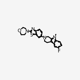 Cn1c2c(c3cc(F)ccc31)CCN(c1ccc3nc(N4CCOCC4)sc3c1)C2